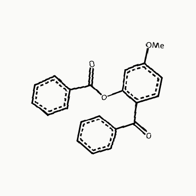 COc1ccc(C(=O)c2ccccc2)c(OC(=O)c2ccccc2)c1